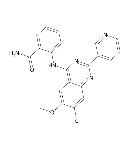 COc1cc2c(Nc3ccccc3C(N)=O)nc(-c3cccnc3)nc2cc1Cl